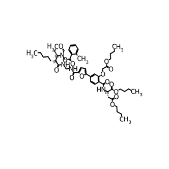 CCCCC[C@@H](C(=O)NCNC(=O)c1ccc(-c2ccc(C(=O)N[C@@H](CC(=O)OCCCC)C(=O)OCCCC)c(OCC(=O)OCCCC)c2)o1)[C@@H](CC)N(C=O)OC(=O)c1ccccc1C